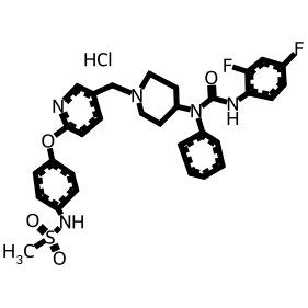 CS(=O)(=O)Nc1ccc(Oc2ccc(CN3CCC(N(C(=O)Nc4ccc(F)cc4F)c4ccccc4)CC3)cn2)cc1.Cl